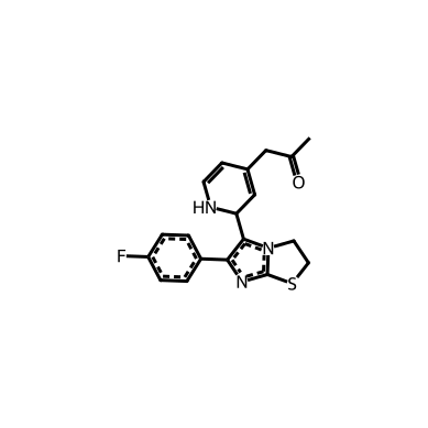 CC(=O)CC1=CC(c2c(-c3ccc(F)cc3)nc3n2CCS3)NC=C1